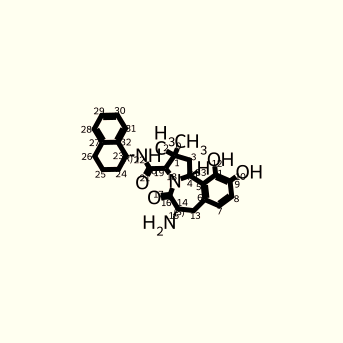 CC1(C)C[C@@H]2c3c(ccc(O)c3O)C[C@H](N)C(=O)N2C1C(=O)N[C@@H]1CCCc2ccccc21